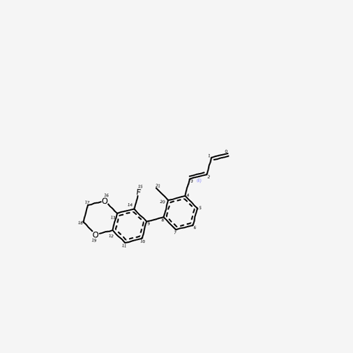 C=C/C=C/c1cccc(-c2ccc3c(c2F)OCCO3)c1C